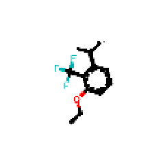 [CH2]C(C)c1cccc(OCC)c1C(F)(F)F